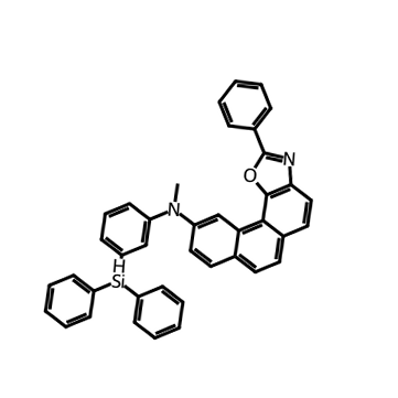 CN(c1cccc([SiH](c2ccccc2)c2ccccc2)c1)c1ccc2ccc3ccc4nc(-c5ccccc5)oc4c3c2c1